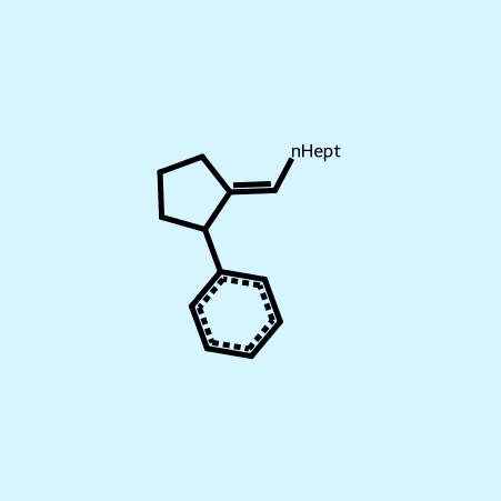 CCCCCCCC=C1CCCC1c1ccccc1